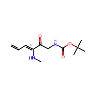 C=C/C=C(\NC)C(=O)CNC(=O)OC(C)(C)C